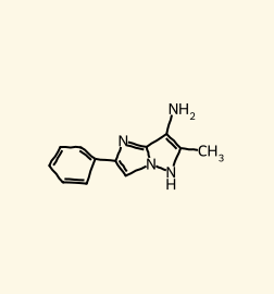 Cc1[nH]n2cc(-c3ccccc3)nc2c1N